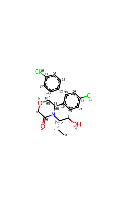 CC[C@@H](CO)N1C(=O)CO[C@H](c2cccc(Cl)c2)[C@H]1c1ccc(Cl)cc1